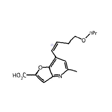 CCCOCC/C=C\c1cc(C)nc2cc(C(=O)O)oc12